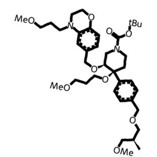 COCCCO[C@]1(c2ccc(COC[C@@H](C)COC)cc2)CCN(C(=O)OC(C)(C)C)C[C@@H]1OCc1ccc2c(c1)N(CCCOC)CCO2